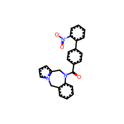 O=C(c1ccc(-c2ccccc2[N+](=O)[O-])cc1)N1Cc2cccn2Cc2ccccc21